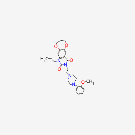 CCCn1c(=O)n(CCN2CCN(c3ccccc3OC)CC2)c(=O)c2cc3c(cc21)OCCCO3